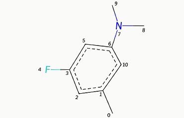 Cc1cc(F)cc(N(C)C)c1